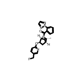 C[C@@H]1[C@H]2C[C@@H](Oc3ccc(CF)cn3)[C@H](C2)N1C(=O)c1ccccc1-n1nccn1